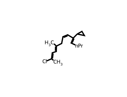 CCC/C=C(/C=C\C/C(C)=C/C=C(\C)Cl)C1CC1